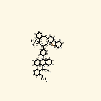 C=Cc1ccccc1C(=C)c1c2c(c(-c3ccc(/C4=C/c5c(ccc6c5sc5ccccc56)Cc5ccccc5C(C)(C)C4)cc3)c3ccccc13)=CCCC=2